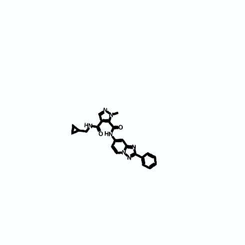 Cn1ncc(C(=O)NCC2CC2)c1C(=O)Nc1ccn2nc(-c3ccccc3)nc2c1